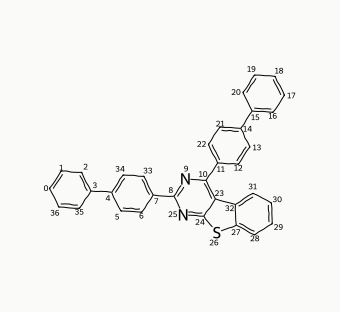 c1ccc(-c2ccc(-c3nc(-c4ccc(-c5ccccc5)cc4)c4c(n3)sc3ccccc34)cc2)cc1